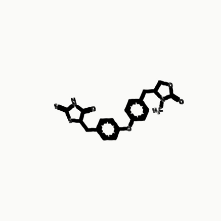 CN1C(=O)OCC1Cc1ccc(Oc2ccc(CC3SC(=S)NC3=O)cc2)cc1